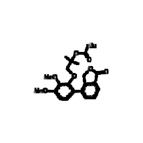 CCCCC(=O)OC(C)(C)COc1c(-c2cccc3c2COC3=O)ccc(OC)c1OC